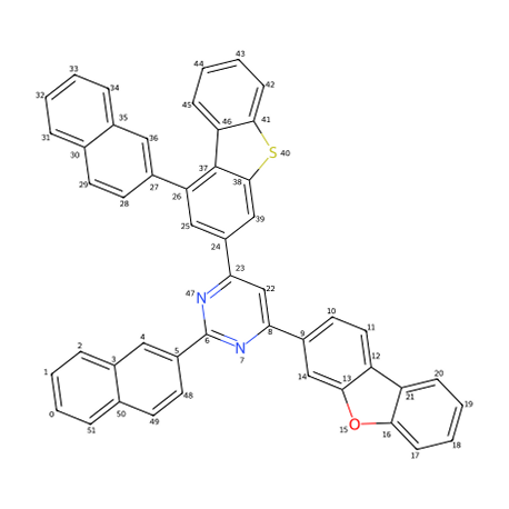 c1ccc2cc(-c3nc(-c4ccc5c(c4)oc4ccccc45)cc(-c4cc(-c5ccc6ccccc6c5)c5c(c4)sc4ccccc45)n3)ccc2c1